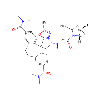 CC(C)c1nnc(C2(CCNCC(=O)N3C(C#N)C[C@@H]4C[C@@H]43)c3ccc(C(=O)N(C)C)cc3CCC3C=C(C(=O)N(C)C)C=CC32)o1